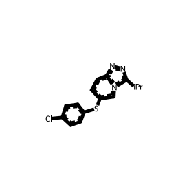 CC(C)c1nnc2ccc(Sc3ccc(Cl)cc3)cn12